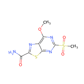 COc1nc(S(C)(=O)=O)nc2sc(C(N)=O)nc12